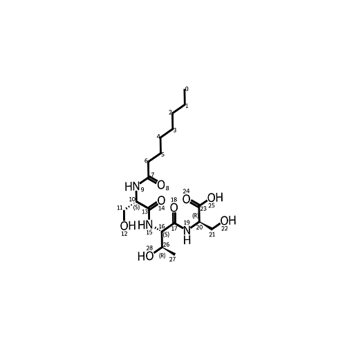 CCCCCCCC(=O)N[C@@H](CO)C(=O)N[C@H](C(=O)N[C@H](CO)C(=O)O)[C@@H](C)O